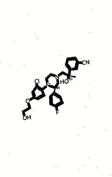 C[C@@](O)(CN1CCN(c2ccc(OCCO)cc2Cl)[C@H](c2ccc(F)cc2)C1)c1cccc(C#N)c1